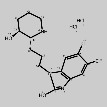 Cl.Cl.Oc1nc2cc(Cl)c(Cl)cc2n1CCC[C@H]1NCCC[C@@H]1O